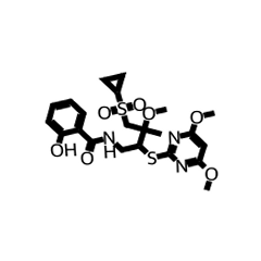 COc1cc(OC)nc(SC(CNC(=O)c2ccccc2O)C(C)(CS(=O)(=O)C2CC2)OC)n1